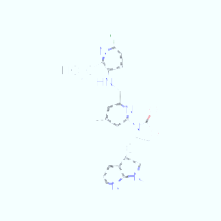 Cc1cc([C@@H](C)Nc2ccc(Cl)nc2C(=O)O)nc(N2C(=O)OC[C@@H]2Cc2cn(C)c3ncccc23)c1